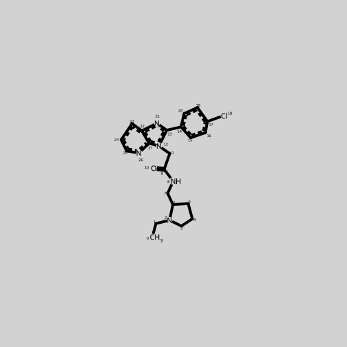 CCN1CCCC1CNC(=O)Cn1c(-c2ccc(Cl)cc2)nc2cccnc21